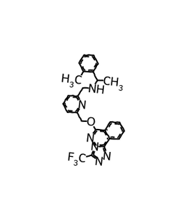 Cc1ccccc1C(C)NCc1cccc(COc2nn3c(C(F)(F)F)nnc3c3ccccc23)n1